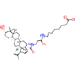 C=C(C)[C@@H]1CC[C@]2(C(=O)NCCC(=O)NCCCCCCCC(=O)O)CC[C@]3(C)[C@H](CCC4[C@@]5(C)CC[C@H](O)C(C)(C)[C@@H]5CC[C@]43C)[C@@H]12